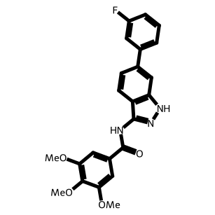 COc1cc(C(=O)Nc2n[nH]c3cc(-c4cccc(F)c4)ccc23)cc(OC)c1OC